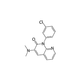 CN(C)c1cc2cccnc2n(-c2cccc(Cl)c2)c1=O